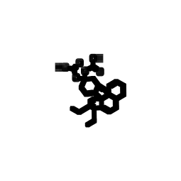 CCC1=C(CC)C2=CC=C3C=CC=CC34C=C3CC(OC(=O)O)(OC(=O)O)CC=C3C24C=C1